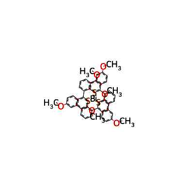 COc1cccc(-c2cccc(-c3cccc(OC)c3)c2[S][Bi]([S]c2c(-c3cccc(OC)c3)cccc2-c2cccc(OC)c2)[S]c2c(-c3cccc(OC)c3)cccc2-c2cccc(OC)c2)c1